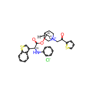 O=C(C[N+]12CCC(CC1)[C@@H](OC(=O)[C@@H](Nc1ccccc1)c1csc3ccccc13)C2)c1cccs1.[Cl-]